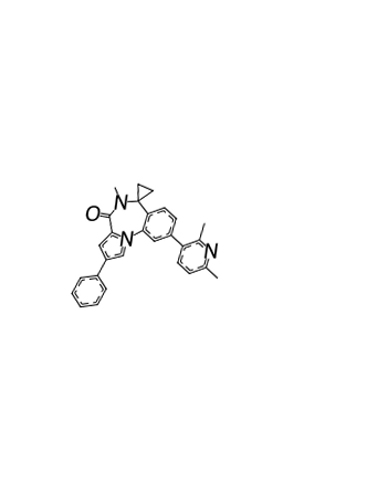 Cc1ccc(-c2ccc3c(c2)-n2cc(-c4ccccc4)cc2C(=O)N(C)C32CC2)c(C)n1